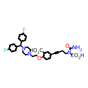 NC(=O)N(CCC#Cc1ccc(OCCN2CCN(C(c3ccc(F)cc3)c3ccc(F)cc3)CC2)c(C(=O)O)c1)C(=O)O